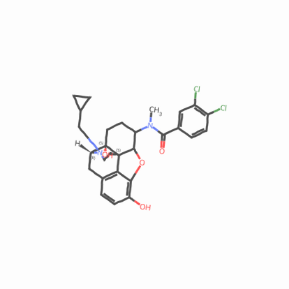 CN(C(=O)c1ccc(Cl)c(Cl)c1)C1CC[C@@]2(O)[C@H]3Cc4ccc(O)c5c4[C@@]2(CCN3CC2CC2)C1O5